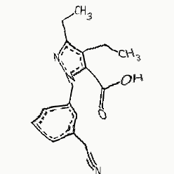 CCc1nn(-c2cccc(C#N)c2)c(C(=O)O)c1CC